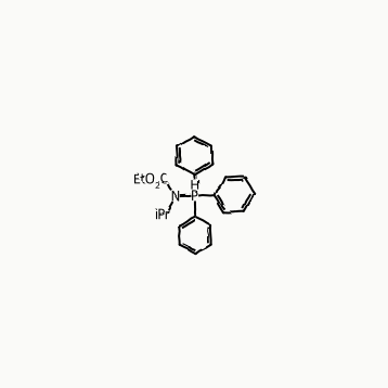 CCOC(=O)N(C(C)C)[PH](c1ccccc1)(c1ccccc1)c1ccccc1